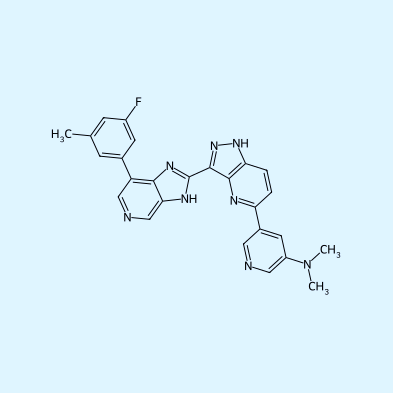 Cc1cc(F)cc(-c2cncc3[nH]c(-c4n[nH]c5ccc(-c6cncc(N(C)C)c6)nc45)nc23)c1